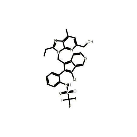 CCc1nc2c(C)cc(CO)nc2n1Cc1c2ccocc-2c(Cl)c1-c1ccccc1NS(=O)(=O)C(F)(F)F